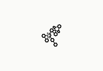 c1ccc(-c2ccc(-c3cc(-c4cccc5c4-c4ccccc4C54c5ccccc5-c5ccccc5-c5ccccc54)nc(-c4ccccc4-c4ccccc4)n3)cc2)cc1